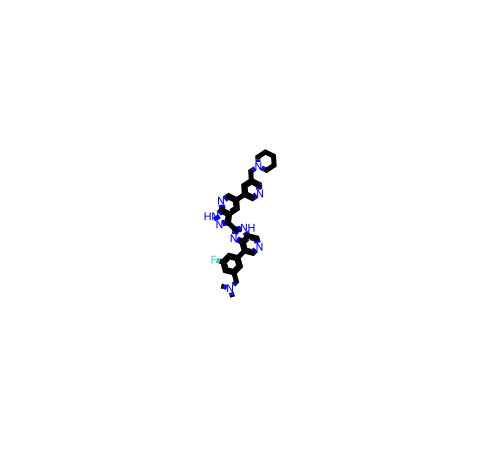 CN(C)Cc1cc(F)cc(-c2cncc3[nH]c(-c4n[nH]c5ncc(-c6cncc(CN7CCCCC7)c6)cc45)nc23)c1